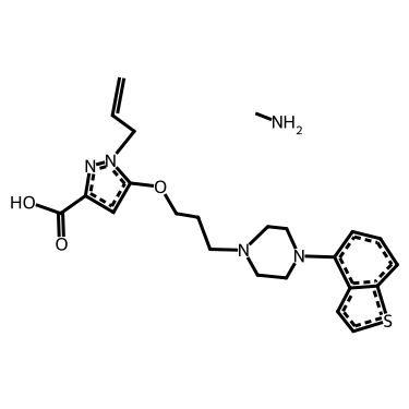 C=CCn1nc(C(=O)O)cc1OCCCN1CCN(c2cccc3sccc23)CC1.CN